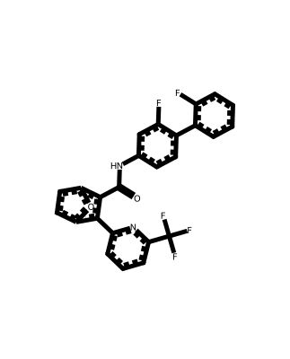 O=C(Nc1ccc(-c2ccccc2F)c(F)c1)c1c(-c2cccc(C(F)(F)F)n2)c2ccc1o2